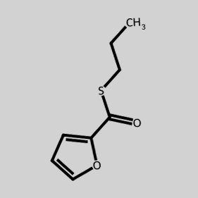 CCCSC(=O)c1ccco1